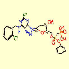 O=P(O)(O)C[P@@](=O)(OC[C@H]1O[C@@H](n2nnc3c(NCc4ccccc4Cl)nc(Cl)nc32)C[C@@H]1O)Oc1ccccc1